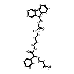 O=C(O)CCSC(C(=O)NCCCCNC(=O)OCC1c2ccccc2-c2ccccc21)c1ccccc1